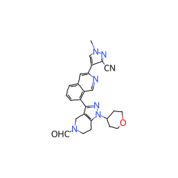 Cn1cc(-c2cc3cccc(-c4nn(C5CCOCC5)c5c4CN(C=O)CC5)c3cn2)c(C#N)n1